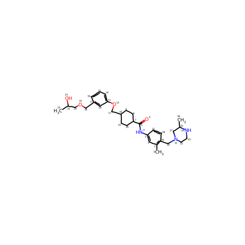 Cc1cc(NC(=O)C2CCC(COc3cccc(COCC(C)O)c3)CC2)ccc1CN1CCNC(C)C1